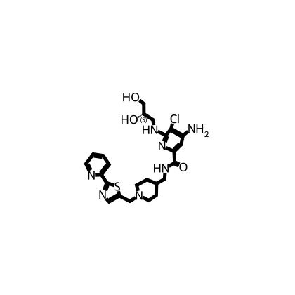 Nc1cc(C(=O)NCC2CCN(Cc3cnc(-c4ccccn4)s3)CC2)nc(NC[C@H](O)CO)c1Cl